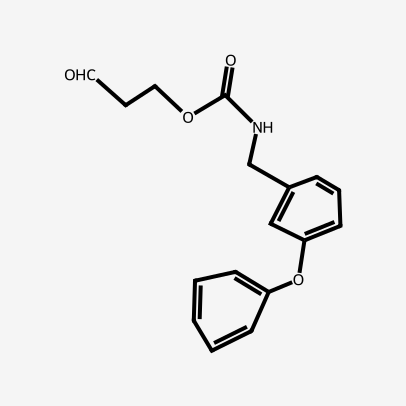 O=CCCOC(=O)NCc1cccc(Oc2ccccc2)c1